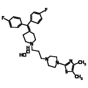 Cc1nc(N2CCN(CCCN3CCC(=C(c4ccc(F)cc4)c4ccc(F)cc4)CC3)CC2)sc1C.Cl.Cl